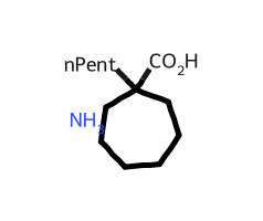 CCCCCC1(C(=O)O)CCCCCC1.N